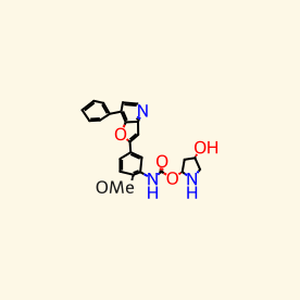 COc1ccc(-c2cc3nccc(-c4ccccc4)c3o2)cc1NC(=O)O[C@H]1C[C@@H](O)CN1